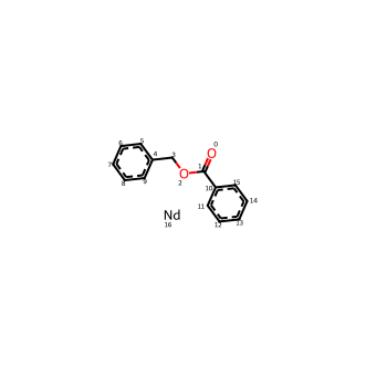 O=C(OCc1ccccc1)c1ccccc1.[Nd]